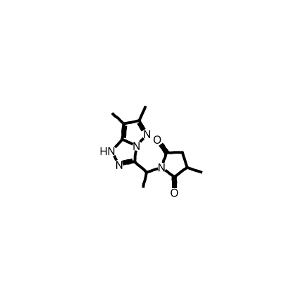 Cc1nn2c(C(C)N3C(=O)CC(C)C3=O)n[nH]c2c1C